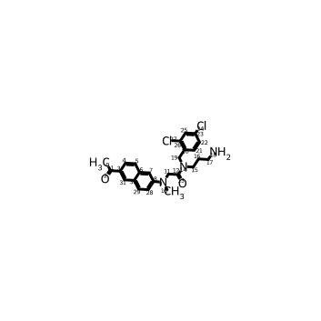 CC(=O)c1ccc2cc(N(C)CC(=O)N(CCCN)Cc3ccc(Cl)cc3Cl)ccc2c1